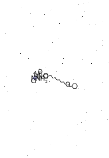 N/C(=N\Cl)C1(C(=O)Nc2ccc(CCCCCCCCOCC3CCCCC3)cc2)CC1